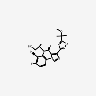 COC(C)(C)c1nc(-c2ncn3c2c(=O)n(C(C)CO)c2c(C#N)c(F)ccc23)no1